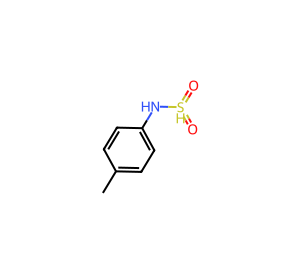 Cc1ccc(N[SH](=O)=O)cc1